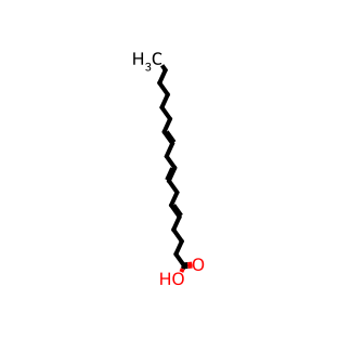 CCCCCCC=CCC=CCC=CCCCC(=O)O